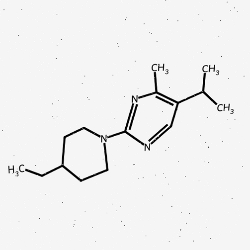 CCC1CCN(c2ncc(C(C)C)c(C)n2)CC1